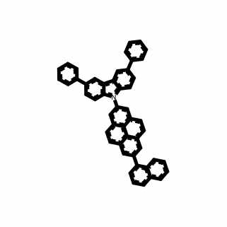 c1ccc(-c2ccc3c(c2)c2cc(-c4ccccc4)ccc2n3-c2cc3ccc4cc(-c5cccc6ccccc56)cc5ccc(c2)c3c45)cc1